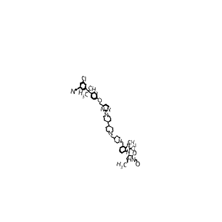 CCCC(C(=O)NC=O)n1c(=O)n(C)c2c(CN3CCC(CN4CCC(C5CCN(c6nccc(COc7ccc(C(C)(C)c8cc(Cl)cc(C#N)c8)cc7)n6)CC5)CC4)CC3)cccc21